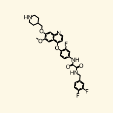 COc1cc2c(Oc3ccc(NC(=O)C(=O)NCc4ccc(F)c(F)c4)cc3F)ccnc2cc1OCC1CCNCC1